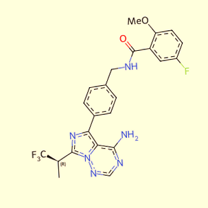 COc1ccc(F)cc1C(=O)NCc1ccc(-c2nc([C@@H](C)C(F)(F)F)n3ncnc(N)c23)cc1